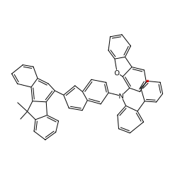 CC1(C)c2ccccc2-c2c(-c3ccc4cc(N(c5ccccc5-c5ccccc5)c5cccc6c5oc5ccccc56)ccc4c3)cc3ccccc3c21